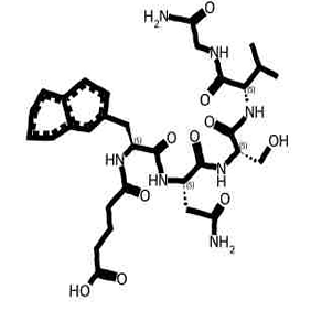 CC(C)[C@H](NC(=O)[C@H](CO)NC(=O)[C@H](CC(N)=O)NC(=O)[C@H](Cc1ccc2ccccc2c1)NC(=O)CCCC(=O)O)C(=O)NCC(N)=O